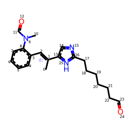 C/C(=C\c1ccccc1N(C)C=O)c1cnc(CCCCCCC=O)[nH]1